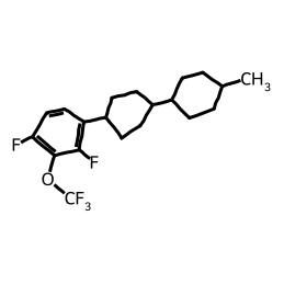 CC1CCC(C2CCC(c3ccc(F)c(OC(F)(F)F)c3F)CC2)CC1